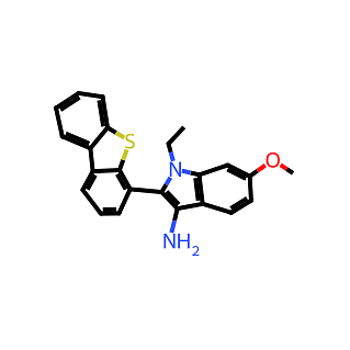 CCn1c(-c2cccc3c2sc2ccccc23)c(N)c2ccc(OC)cc21